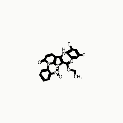 CCOC(=O)c1sc2c(ccc(=O)n2-c2ccccc2[N+](=O)[O-])c1Nc1ccc(F)cc1F